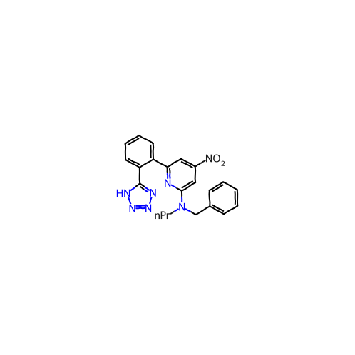 CCCN(Cc1ccccc1)c1cc([N+](=O)[O-])cc(-c2ccccc2-c2nnn[nH]2)n1